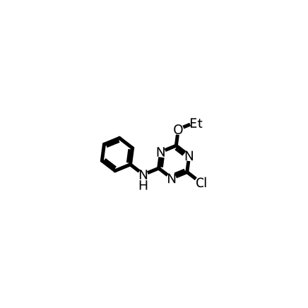 CCOc1nc(Cl)nc(Nc2ccccc2)n1